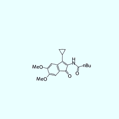 CCCCC(=O)NC1=C(C2CC2)c2cc(OC)c(OC)cc2C1=O